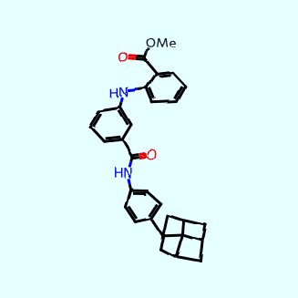 COC(=O)c1ccccc1Nc1cccc(C(=O)Nc2ccc(C34CC5CC6CC(C3)C654)cc2)c1